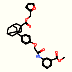 COC(=O)c1cccc(NC(=O)COc2ccc(C34CC5CC(CC(C(=O)OCc6ccco6)(C5)C3)C4)cc2)c1